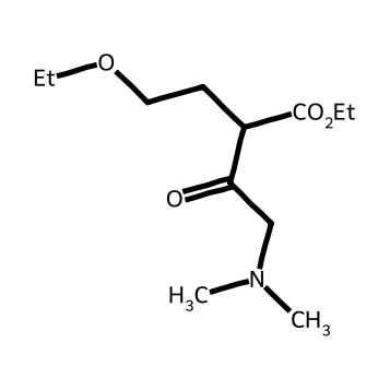 CCOCCC(C(=O)CN(C)C)C(=O)OCC